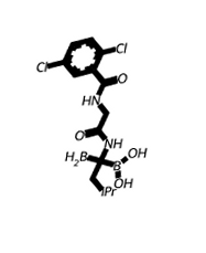 BC(CC(C)C)(NC(=O)CNC(=O)c1cc(Cl)ccc1Cl)B(O)O